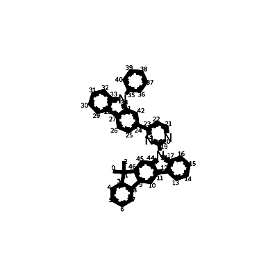 CC1(C)c2ccccc2-c2cc3c4ccccc4n(-c4nccc(-c5ccc6c7ccccc7n(-c7ccccc7)c6c5)n4)c3cc21